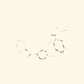 O=C(N=C1NCCN1)c1cc(F)c(Nc2cccc(C(=O)N3CCOCC3C(F)(F)F)c2)c(C2CC2)c1